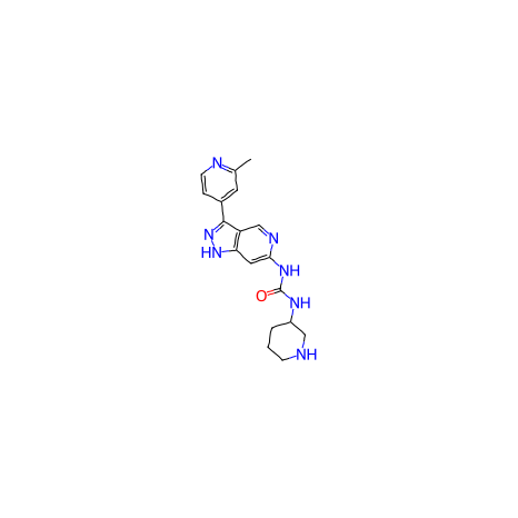 Cc1cc(-c2n[nH]c3cc(NC(=O)NC4CCCNC4)ncc23)ccn1